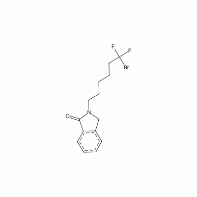 O=C1c2ccccc2CN1CCCCCC(F)(F)Br